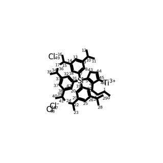 CCCCC1=C([Si](c2cc(C(C)C)cc(C(C)C)c2)(c2cc(C(C)C)cc(C(C)C)c2)c2cc(C(C)C)cc(C(C)C)c2)CC=[C]1[Ti+3].[Cl-].[Cl-].[Cl-]